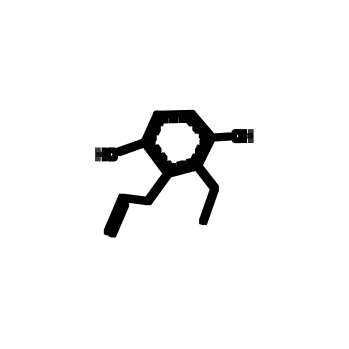 C=CCc1c(O)ccc(O)c1CC